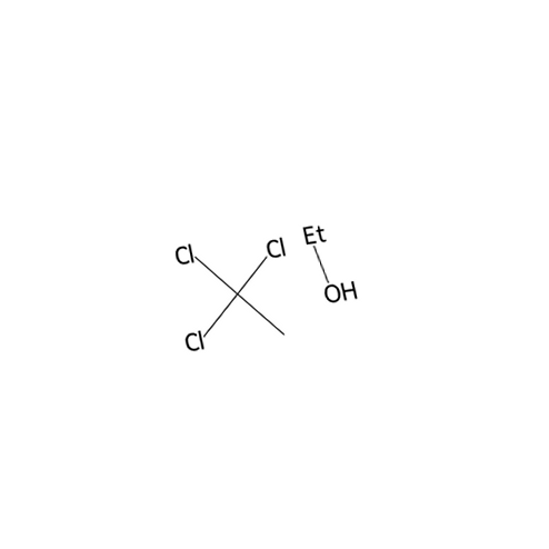 CC(Cl)(Cl)Cl.CCO